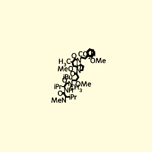 CC[C@H](C)[C@@H]([C@@H](CC(=O)N1CCC[C@H]1[C@H](OC)[C@@H](C)C(=O)N[C@@H](Cc1ccccc1OC)C(=O)O)OC)N(C)C(=O)[C@@H](NC(=O)[C@@H](NC)C(C)C)C(C)C